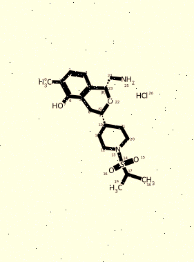 Cc1ccc2c(c1O)C[C@@H](C1CCN(S(=O)(=O)C(C)C)CC1)O[C@H]2CN.Cl